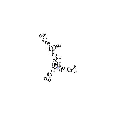 O=C(CN/C(=N\C(=O)OCc1ccc([N+](=O)[O-])cc1)NC(=O)OCc1ccc([N+](=O)[O-])cc1)NC1CCN(C(=O)[C@@H]2C[C@H](S)CN2C(=O)OCc2ccc([N+](=O)[O-])cc2)CC1